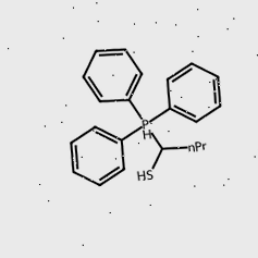 CCCC(S)[PH](c1ccccc1)(c1ccccc1)c1ccccc1